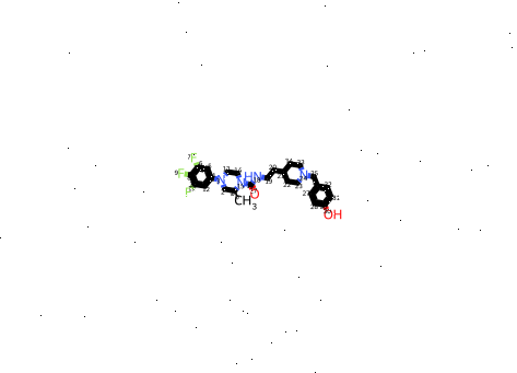 C[C@@H]1CN(c2cc(F)c(F)c(F)c2)CCN1C(=O)NCCC1CCN(Cc2ccc(O)cc2)CC1